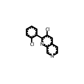 Clc1ccccc1-c1nc2cnccc2cc1Cl